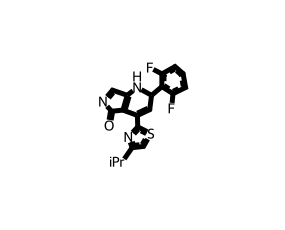 CC(C)c1csc(C2=CC(c3c(F)cccc3F)NC3=C2C(=O)N=C3)n1